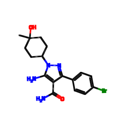 CC1(O)CCC(n2nc(-c3ccc(Br)cc3)c(C(N)=O)c2N)CC1